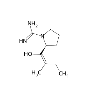 CC/C(C)=C(/O)[C@@H]1CCCN1C(=N)N